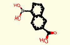 O=C(O)c1ccc2c(B(O)O)cccc2c1